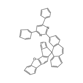 C1=Cc2ccc(-c3nc(-c4ccccc4)cc(-c4ccccc4)n3)cc2C2(c3ccccc31)c1ccccc1-c1c2ccc2c1oc1ccccc12